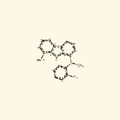 CN(c1ccccc1F)c1cccc2c1sc1c(C(C)(C)C)cccc12